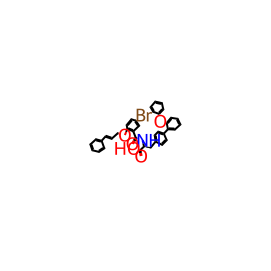 O=C(N[C@@H](Cc1ccc(-c2ccccc2Oc2ccccc2)cc1)C(=O)O)c1cc(Br)ccc1OCC=Cc1ccccc1